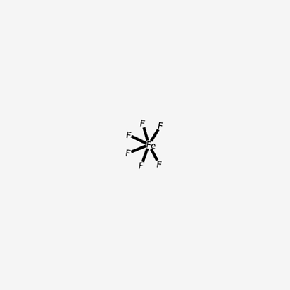 [F][Fe]([F])([F])([F])([F])[F]